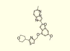 COc1cc(OCc2csc(C3CCOCC3)n2)c2cc(-c3cn4nc(C)ccc4n3)oc2c1